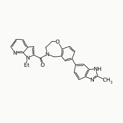 CCn1c(C(=O)N2CCOc3ccc(-c4ccc5nc(C)[nH]c5c4)cc3C2)cc2cccnc21